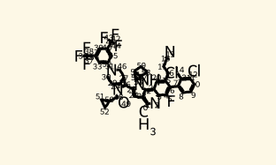 Cc1nc2c(F)c(-c3cccc(Cl)c3Cl)c(CCC#N)cc2c2c1cc(C1C3CC(CN(c4cc(C(F)(F)F)cc(C(F)(F)F)c4)C3)N1C(=O)C1CC1)n2C1C2CNC1C2